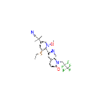 CCSc1cc(C(C)(C)C#N)c[n+](OC)c1-c1cc2ccc(=O)n(CC(F)(F)C(F)(F)F)c2cn1